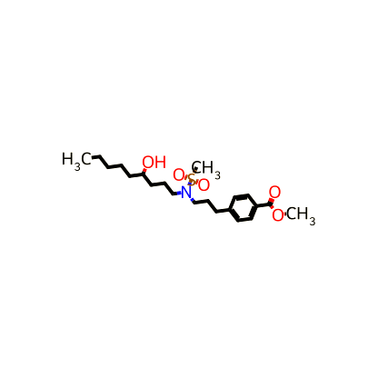 CCCCCC(O)CCCN(CCCc1ccc(C(=O)OC)cc1)S(C)(=O)=O